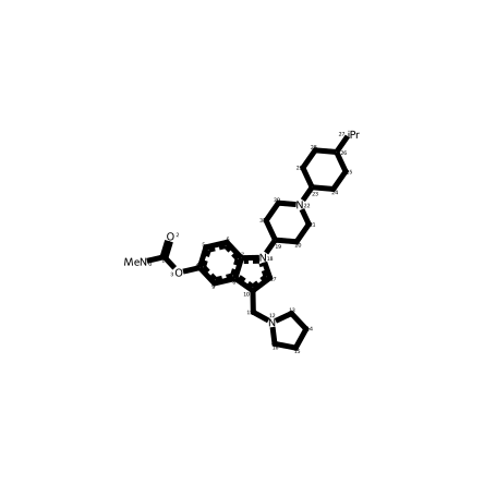 CNC(=O)Oc1ccc2c(c1)c(CN1CCCC1)cn2C1CCN(C2CCC(C(C)C)CC2)CC1